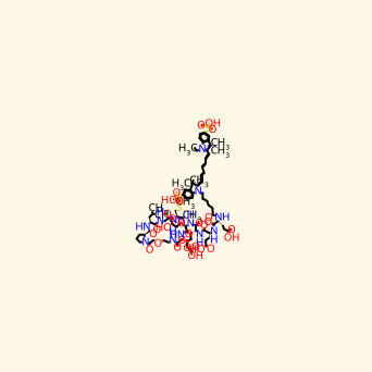 CC[N+]1=C(/C=C/C=C/C=C/C=C2/N(CCCCCC(=O)N[C@H](CCC(=O)O)C(=O)N[C@H](CCC(=O)O)C(=O)N[C@H](CCC(=O)O)C(=O)N[C@H](CCC(=O)O)C(=O)N[C@H](CCC(=O)O)C(=O)NCCOCC(=O)N3CCC[C@H]3C(=O)N[C@@H](CC(C)C)C(=O)NCC(=O)N[C@@H](CSC)C(C)=O)c3ccc(S(=O)(=O)O)cc3C2(C)C)C(C)(C)c2cc(S(=O)(=O)O)ccc21